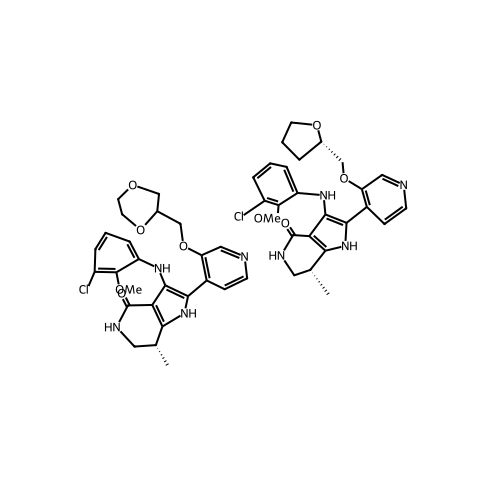 COc1c(Cl)cccc1Nc1c(-c2ccncc2OCC2COCCO2)[nH]c2c1C(=O)NC[C@H]2C.COc1c(Cl)cccc1Nc1c(-c2ccncc2OC[C@@H]2CCCO2)[nH]c2c1C(=O)NC[C@H]2C